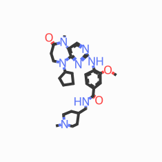 COc1cc(C(=O)NCC2CCN(C)CC2)ccc1Nc1ncc2c(n1)N(C1CCCC1)CCC(=O)N2C